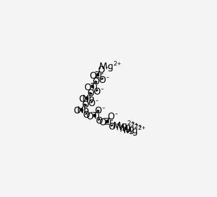 [Mg+2].[Mg+2].[Mg+2].[Mg+2].[Mg+2].[O]=[Nb](=[O])[O-].[O]=[Nb](=[O])[O-].[O]=[Ti]([O-])[O-].[O]=[Ti]([O-])[O-].[O]=[Zr]([O-])[O-].[O]=[Zr]([O-])[O-]